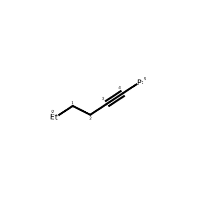 CCCCC#C[P]